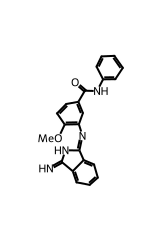 COc1ccc(C(=O)Nc2ccccc2)cc1N=C1NC(=N)c2ccccc21